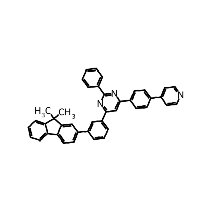 CC1(C)c2ccccc2-c2ccc(-c3cccc(-c4cc(-c5ccc(-c6ccncc6)cc5)nc(-c5ccccc5)n4)c3)cc21